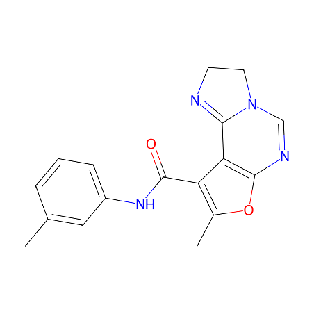 Cc1cccc(NC(=O)c2c(C)oc3c2C2=NCCN2C=N3)c1